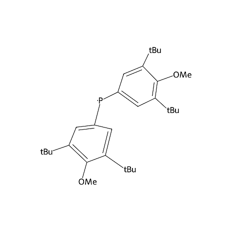 COc1c(C(C)(C)C)cc([P]c2cc(C(C)(C)C)c(OC)c(C(C)(C)C)c2)cc1C(C)(C)C